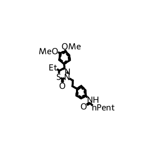 CCCCCC(=O)Nc1ccc(CCN2N=C(c3ccc(OC)c(OC)c3)C(CC)SC2=O)cc1